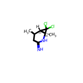 CC1CC(=N)N[C@@]2(C)[C@H]1C2(Cl)Cl